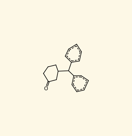 O=C1CCCC(C(c2ccccc2)c2ccccc2)C1